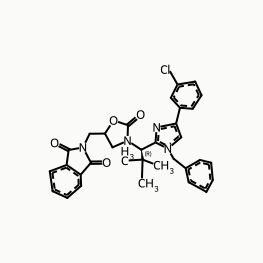 CC(C)(C)[C@H](c1nc(-c2cccc(Cl)c2)cn1Cc1ccccc1)N1CC(CN2C(=O)c3ccccc3C2=O)OC1=O